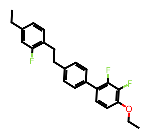 CCOc1ccc(-c2ccc(CCc3ccc(CC)cc3F)cc2)c(F)c1F